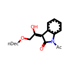 CCCCCCCCCCOCC(O)=C1C(=O)N(C(C)=O)c2ccccc21